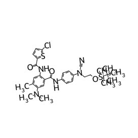 Cc1cc(NC(=O)c2ccc(Cl)s2)c(C(=O)Nc2ccc(N(C#N)CCO[Si](C)(C)C(C)(C)C)cc2)cc1N(C)C